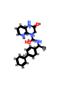 CCC(NC(O)N1CC(=O)Nc2cccnc21)c1ccc(-c2ccccc2)cc1